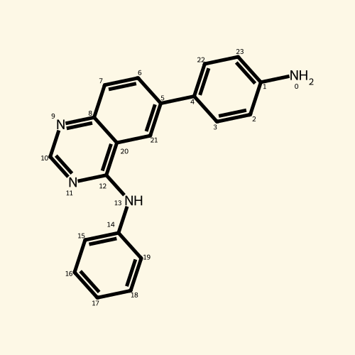 Nc1ccc(-c2ccc3ncnc(Nc4ccccc4)c3c2)cc1